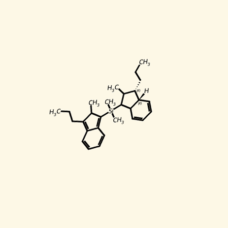 CCCC1=c2ccccc2=C([Si](C)(C)C2C3C=CC=C[C@H]3[C@@H](CCC)C2C)C1C